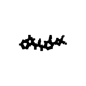 O=C(Nc1ccc(C2CC(F)(F)C2)c(Cl)c1)Nc1c[nH]c2ccccc12